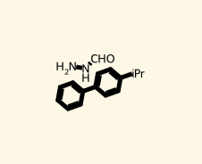 CC(C)c1ccc(-c2ccccc2)cc1.NNC=O